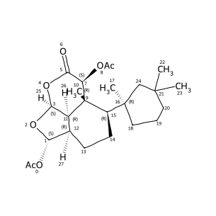 CC(=O)O[C@@H]1O[C@H]2OC(=O)[C@@H](OC(C)=O)[C@@]3(C)[C@H]2[C@H]1CC[C@@H]3[C@]1(C)CCCC(C)(C)C1